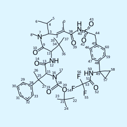 C/C(=C\C(C(C)C)N(C)C(=O)C(NC(=O)C(N(C)C(=O)OC(C)(C)C)C(C)(C)c1ccccc1)C(C)(C)C)C(=O)NS(=O)(=O)Cc1ccc(C2(NC(=O)C(F)(F)F)CC2)cc1